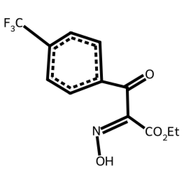 CCOC(=O)C(=NO)C(=O)c1ccc(C(F)(F)F)cc1